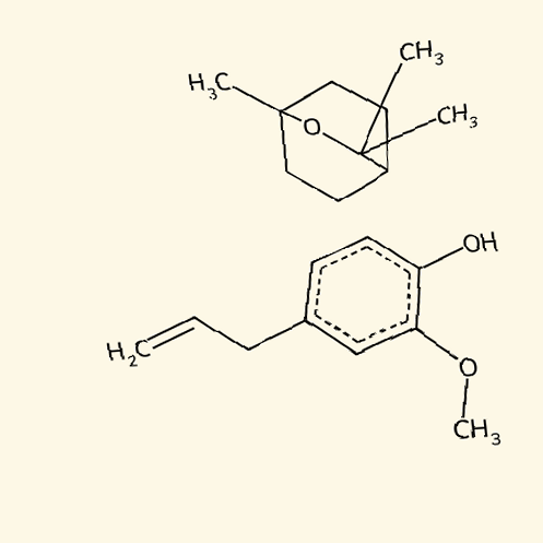 C=CCc1ccc(O)c(OC)c1.CC12CCC(CC1)C(C)(C)O2